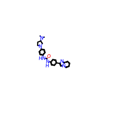 CN(C)C1CCN(c2ccc(NC(=O)Nc3ccc(-c4cn5ccccc5n4)cc3)cc2)C1